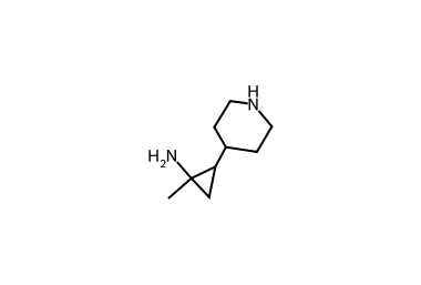 CC1(N)CC1C1CCNCC1